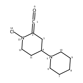 O=C=C1CC(N2CCCCC2)CCN1Cl